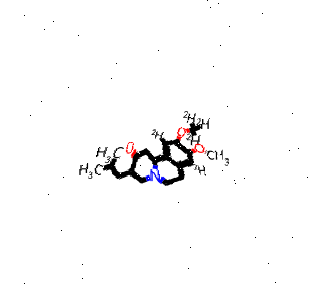 [2H]c1c2c(c([2H])c(OC([2H])([2H])[2H])c1OC)C1CC(=O)C(CC(C)C)CN1CC2